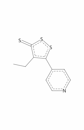 CCc1c(-c2ccncc2)ssc1=S